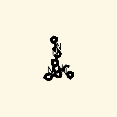 CCc1nc2c3c(-c4ccc(-c5ccc6nc(-c7ccccc7)cn6c5)cc4)nc4ccccc4c3ccc2n1-c1ccccc1